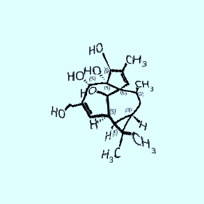 CC1=C[C@@]23C(O)[C@H](C=C(CO)[C@H](O)[C@@]2(O)[C@H]1O)[C@@H]1[C@H](C[C@@H]3C)C1(C)C